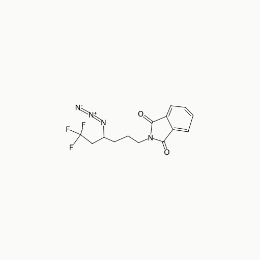 [N-]=[N+]=NC(CCCN1C(=O)c2ccccc2C1=O)CC(F)(F)F